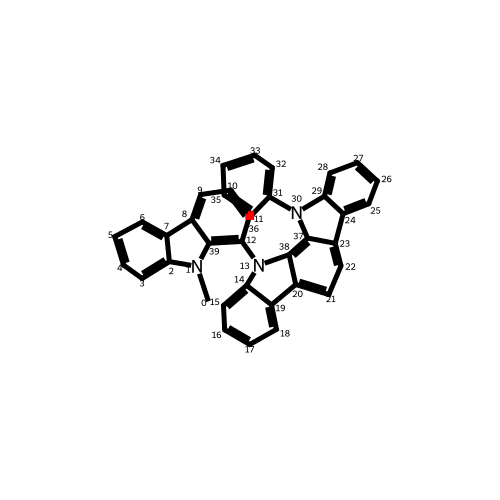 Cn1c2ccccc2c2cccc(-n3c4ccccc4c4ccc5c6ccccc6n(-c6ccccc6)c5c43)c21